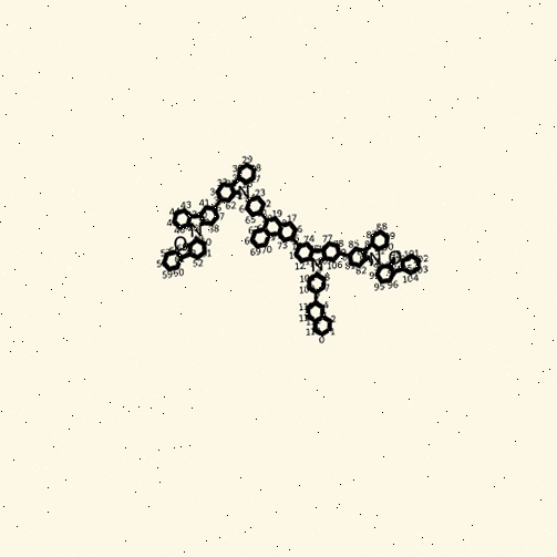 c1ccc2cc(-c3ccc(-n4c5ccc(-c6ccc7cc(-c8ccc(-n9c%10ccccc%10c%10ccc(-c%11ccc%12c(c%11)c%11ccccc%11n%12-c%11cccc%12c%11oc%11ccccc%11%12)cc%109)cc8)c8ccccc8c7c6)cc5c5ccc(-c6ccc7c(c6)c6ccccc6n7-c6cccc7c6oc6ccccc67)cc54)cc3)ccc2c1